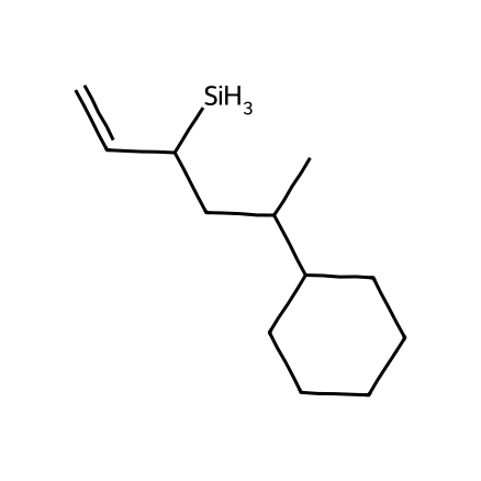 C=CC([SiH3])CC(C)C1CCCCC1